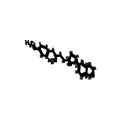 COc1ccc(C[C@H](N)CCc2ccn(-c3ccc4cnccc4c3)n2)cc1